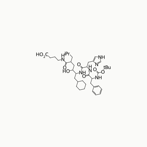 CC(C)CC(CC(O)C(CC1CCCCC1)NC(=O)C(Cc1c[nH]cn1)NC(=O)C(Cc1ccccc1)NC(=O)OC(C)(C)C)C(=O)NCCCC(=O)O